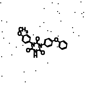 COc1ccc(-n2c(=O)[nH]c(=O)n(-c3ccc(Oc4ccccc4)cc3)c2=O)cc1